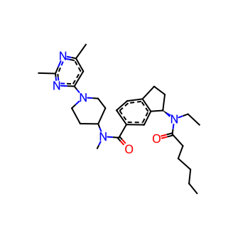 CCCCCC(=O)N(CC)[C@@H]1CCc2ccc(C(=O)N(C)C3CCN(c4cc(C)nc(C)n4)CC3)cc21